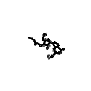 [N-]=[N+]=NCO[C@@H]1[C@@H](F)[C@H](n2cnc3c(=O)[nH]c(N)nc32)O[C@@H]1CO